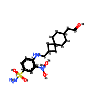 NS(=O)(=O)c1ccc(NCC2CC3(CCC(CC=O)CC3)C2)c([N+](=O)[O-])c1